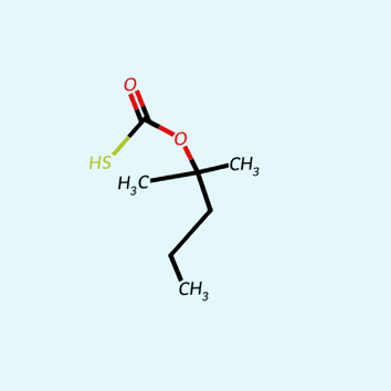 CCCC(C)(C)OC(=O)S